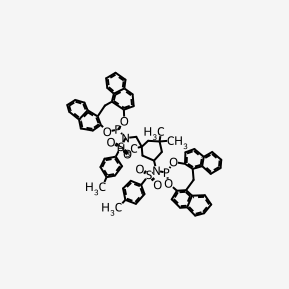 Cc1ccc(S(=O)(=O)N(CC2(C)CC(N(P3Oc4ccc5ccccc5c4Cc4c(ccc5ccccc45)O3)S(=O)(=O)c3ccc(C)cc3)CC(C)(C)C2)P2Oc3ccc4ccccc4c3Cc3c(ccc4ccccc34)O2)cc1